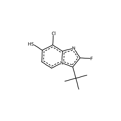 CC(C)(C)c1c(F)nc2c(Cl)c(S)ccn12